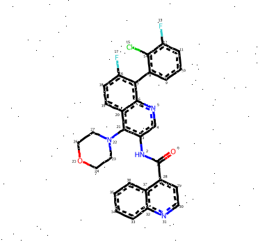 O=C(Nc1cnc2c(-c3cccc(F)c3Cl)c(F)ccc2c1N1CCOCC1)c1ccnc2ccccc12